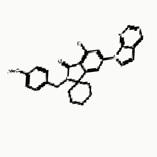 COc1ccc(CN2C(=O)c3c(Cl)cc(-n4ccc5cncnc54)cc3C23CCCCC3)cc1